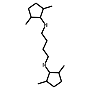 CC1CCC(C)C1NCCCCNC1C(C)CCC1C